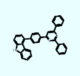 c1ccc(-c2cc(-c3ccc(-c4cccc5[nH]c6ccccc6c45)cc3)nc(-c3ccccc3)n2)cc1